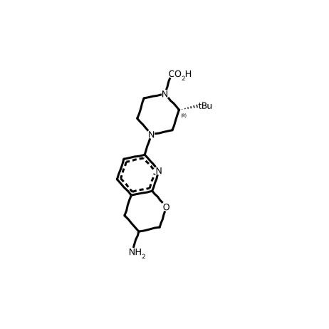 CC(C)(C)[C@@H]1CN(c2ccc3c(n2)OCC(N)C3)CCN1C(=O)O